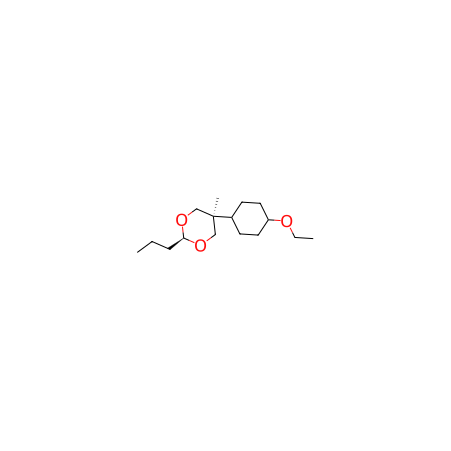 CCC[C@H]1OC[C@@](C)(C2CCC(OCC)CC2)CO1